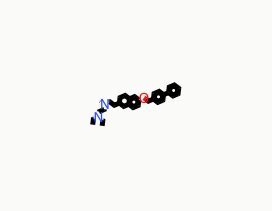 CCN(CC)CCN(C)CCC1CCc2cc(OCc3ccc(-c4ccccc4)cc3)ccc2C1